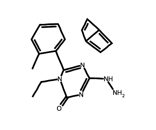 CCn1c(-c2ccccc2C)nc(NN)nc1=O.c1cc2ccc1-2